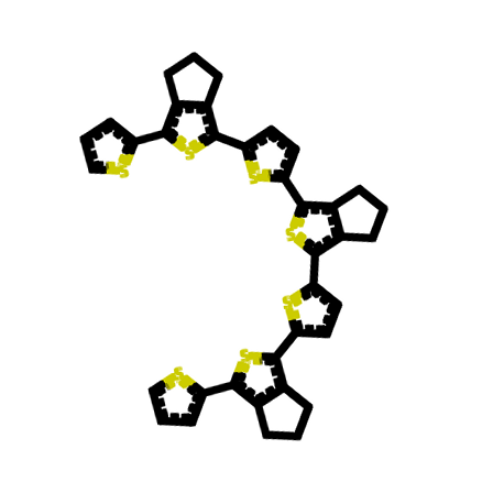 c1csc(-c2sc(-c3ccc(-c4sc(-c5ccc(-c6sc(-c7cccs7)c7c6CCC7)s5)c5c4CCC5)s3)c3c2CCC3)c1